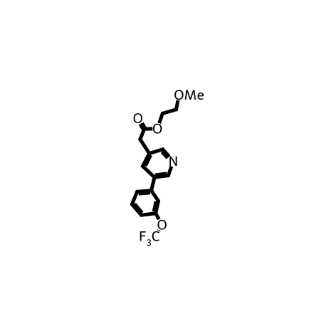 COCCOC(=O)Cc1cncc(-c2cccc(OC(F)(F)F)c2)c1